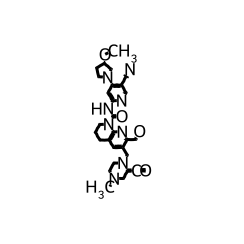 CO[C@H]1CCN(c2cc(NC(=O)N3CCCc4cc(CN5CCN(C)CC5=C=O)c(C=O)nc43)ncc2C#N)C1